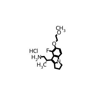 COCCOc1ccc2c(c1F)c([C@H](C)CN)c1n2CCC1.Cl